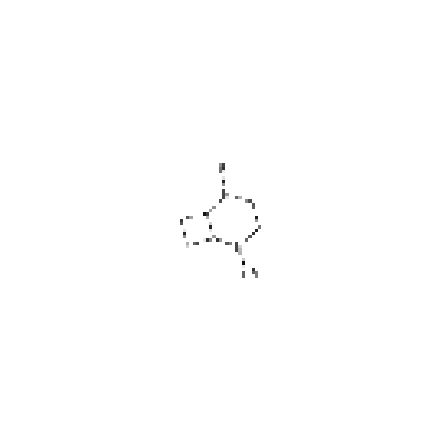 CCCN1CCN(C(C)C)C2CCC21